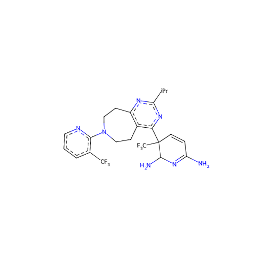 CC(C)c1nc2c(c(C3(C(F)(F)F)C=CC(N)=NC3N)n1)CCN(c1ncccc1C(F)(F)F)CC2